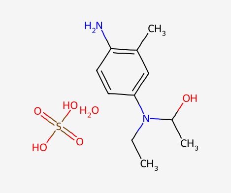 CCN(c1ccc(N)c(C)c1)C(C)O.O.O=S(=O)(O)O